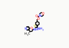 CC(CC(=O)Nc1sc2c(c1N)CCC(COC(=O)N1CCOCC1)C2)c1cccnc1